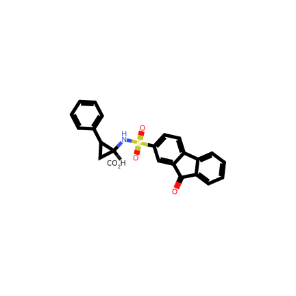 O=C1c2ccccc2-c2ccc(S(=O)(=O)NC3(C(=O)O)CC3c3ccccc3)cc21